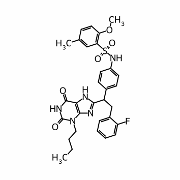 CCCCn1c(=O)[nH]c(=O)c2[nH]c(C(Cc3ccccc3F)c3ccc(NS(=O)(=O)c4cc(C)ccc4OC)cc3)nc21